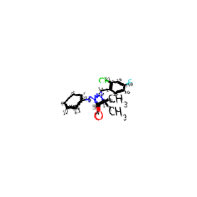 CC1(C)C(=O)N(C2CCCCC2)N1Cc1ccc(F)cc1Cl